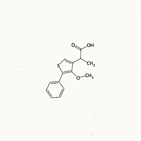 COc1c(C(C)C(=O)O)csc1-c1ccccc1